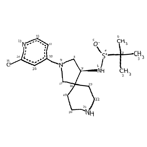 CC(C)(C)[S+]([O-])N[C@@H]1CN(c2ccnc(Cl)c2)CC12CCNCC2